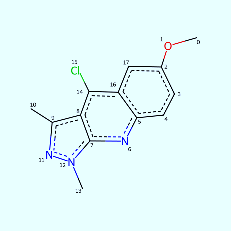 COc1ccc2nc3c(c(C)nn3C)c(Cl)c2c1